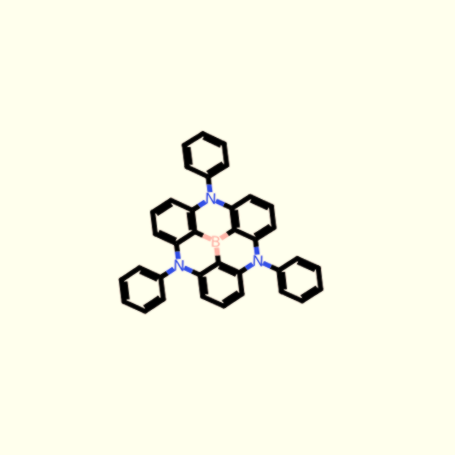 c1ccc(N2c3cccc4c3B3c5c2cccc5N(c2ccccc2)c2cccc(c23)N4c2ccccc2)cc1